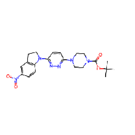 CC(C)(C)OC(=O)N1CCN(c2ccc(N3CCc4cc([N+](=O)[O-])ccc43)nn2)CC1